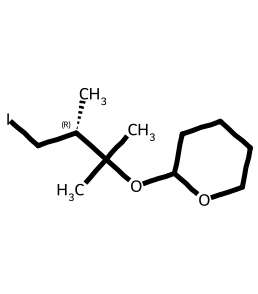 C[C@@H](CI)C(C)(C)OC1CCCCO1